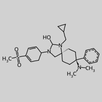 CN(C)[C@]1(c2ccccc2)CC[C@]2(CC1)CN(C1C=CC(S(C)(=O)=O)=CC1)C(O)N2CC1CC1